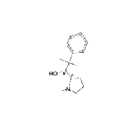 CN1CCC[C@H]1[C@H](O)C(C)(C)c1ccccc1